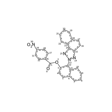 O=C(Oc1ccc2ccccc2c1-n1nc2ccc3ccccc3c2n1)c1ccc([N+](=O)[O-])cc1